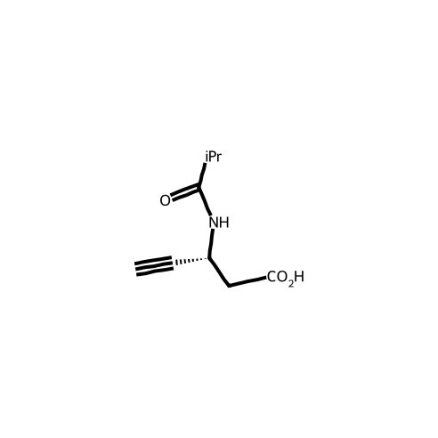 C#C[C@@H](CC(=O)O)NC(=O)C(C)C